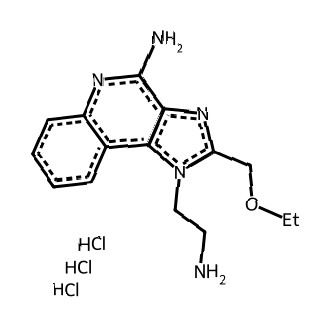 CCOCc1nc2c(N)nc3ccccc3c2n1CCN.Cl.Cl.Cl